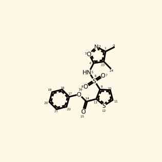 Cc1noc(NS(=O)(=O)c2ccsc2C(=O)Oc2ccccc2)c1C